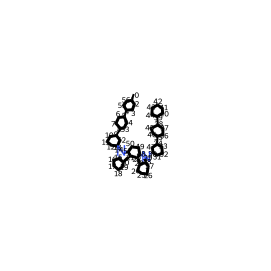 Cc1ccc(-c2ccc(-c3cccc(-n4c5ccccc5c5c6c7ccccc7n(-c7cccc(-c8ccc(-c9ccccc9)cc8)c7)c6ccc54)c3)cc2)cc1